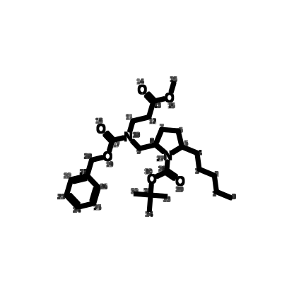 CCCCCC1CCC(CN(CCC(=O)OC)C(=O)OCc2ccccc2)N1C(=O)OC(C)(C)C